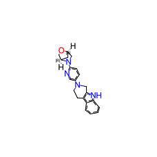 c1ccc2c3c([nH]c2c1)CN(c1ccc(N2C[C@H]4C[C@@H]2CO4)nc1)CC3